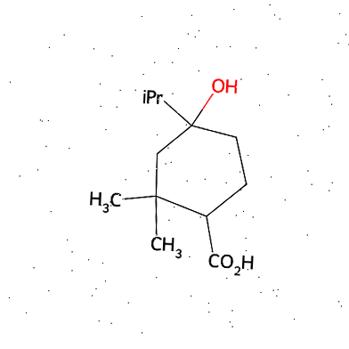 CC(C)C1(O)CCC(C(=O)O)C(C)(C)C1